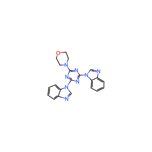 c1ccc2c(c1)ncn2-c1nc(N2CCOCC2)nc(-n2cnc3ccccc32)n1